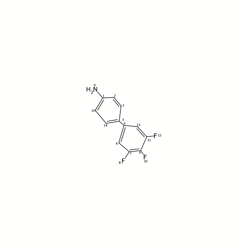 Nc1ccc(-c2cc(F)c(F)c(F)c2)cc1